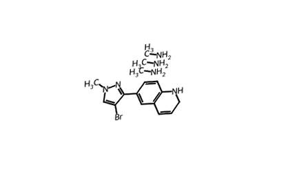 CN.CN.CN.Cn1cc(Br)c(-c2ccc3c(c2)C=CCN3)n1